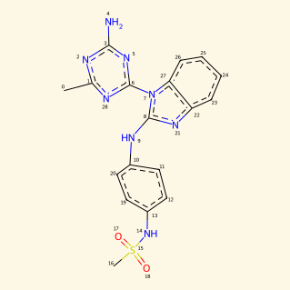 Cc1nc(N)nc(-n2c(Nc3ccc(NS(C)(=O)=O)cc3)nc3ccccc32)n1